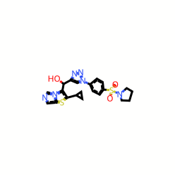 O=S(=O)(c1ccc(-n2cc(C(O)c3c(C4CC4)sc4cncn34)nn2)cc1)N1CCCC1